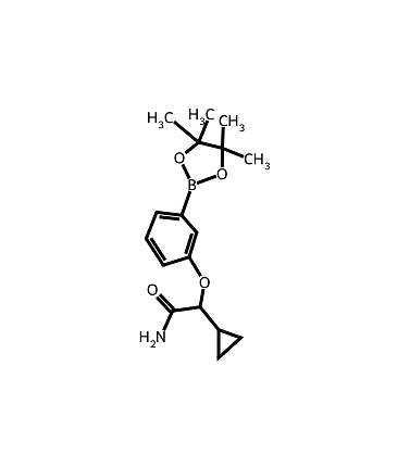 CC1(C)OB(c2cccc(OC(C(N)=O)C3CC3)c2)OC1(C)C